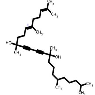 CC(C)=CCC/C(C)=C/CCC(C)(O)C#CC#CC(C)(O)CCCC(C)CCCC(C)C